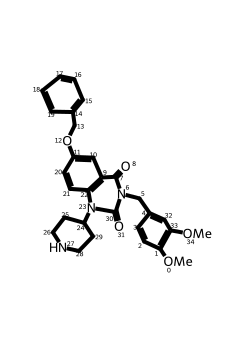 COc1ccc(Cn2c(=O)c3cc(OCc4ccccc4)ccc3n(C3CCNCC3)c2=O)cc1OC